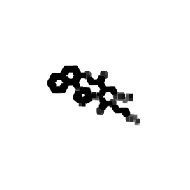 C=CCOC(=O)NC(CC(=O)O)C(=O)COc1ccc2ccccc2c1-n1ccnc1